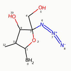 BC1OC(CO)(N=[N+]=[N-])C(O)C1C